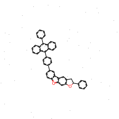 c1ccc(-c2c3ccccc3c(-c3ccc(-c4ccc5oc6cc7c(cc6c5c4)CC(c4ccccc4)O7)cc3)c3ccccc23)cc1